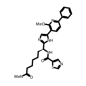 CNC(=O)CCCCC[C@H](NC(=O)c1cncs1)c1ncc(-c2ccc(-c3ccccc3)nc2OC)[nH]1